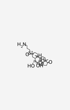 C[C@]12CC[C@@H]([S+]([O-])CCCN)CC1[C@@H](CO)[C@@H](O)[C@@H]1[C@@H]2CC[C@]2(C)C(=O)CC[C@@H]12